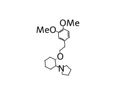 COc1ccc(CCO[C@H]2CCCC[C@@H]2N2CCCC2)cc1OC